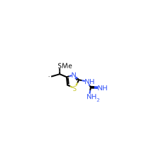 [CH2]C(SC)c1csc(NC(=N)N)n1